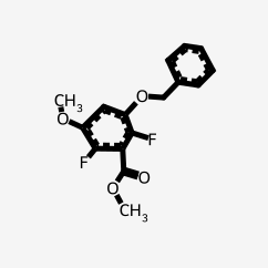 COC(=O)c1c(F)c(OC)cc(OCc2ccccc2)c1F